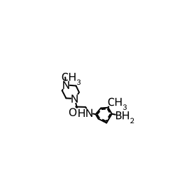 Bc1ccc(NCC(=O)N2CCN(C)CC2)cc1C